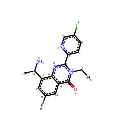 [2H]Cn1c(-c2ccc(F)cn2)nc2c([C@@H](C)N)cc(F)cc2c1=O